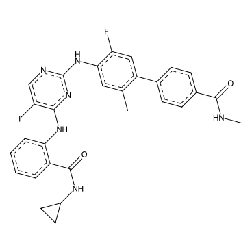 CNC(=O)c1ccc(-c2cc(F)c(Nc3ncc(I)c(Nc4ccccc4C(=O)NC4CC4)n3)cc2C)cc1